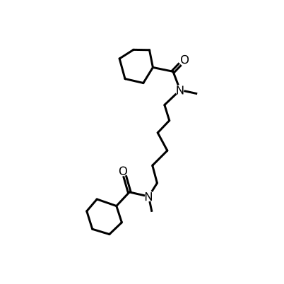 CN(CCCCCCN(C)C(=O)C1CCCCC1)C(=O)C1CCCCC1